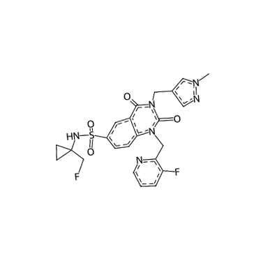 Cn1cc(Cn2c(=O)c3cc(S(=O)(=O)NC4(CF)CC4)ccc3n(Cc3ncccc3F)c2=O)cn1